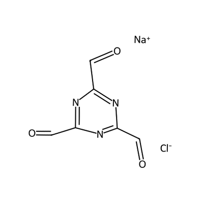 O=Cc1nc(C=O)nc(C=O)n1.[Cl-].[Na+]